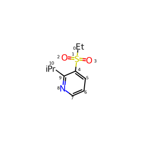 CCS(=O)(=O)c1cccnc1C(C)C